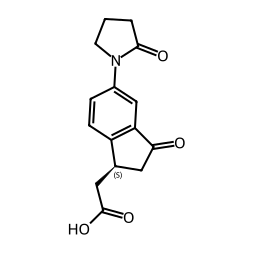 O=C(O)C[C@@H]1CC(=O)c2cc(N3CCCC3=O)ccc21